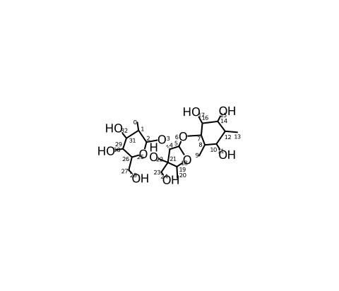 CC1C(O[C@@H]2C(OC3C(C)C(O)C(C)C(O)C3O)OC(C)C2(O)CO)OC(CO)C(O)C1O